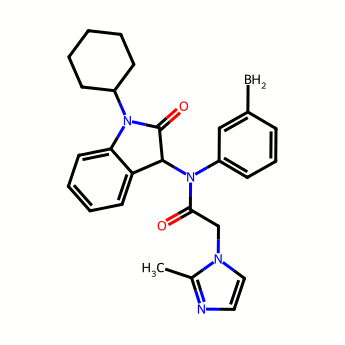 Bc1cccc(N(C(=O)Cn2ccnc2C)C2C(=O)N(C3CCCCC3)c3ccccc32)c1